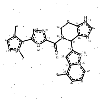 Cc1cnn(C)c1-c1nnc(C(=O)N2CCc3[nH]cnc3C2c2cc3c(C)cccn3n2)o1